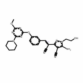 COc1nc(Oc2cccc(/C=C(\C#N)c3nn(CCO)c(N)c3C#N)c2)nc(N2CCCCC2)n1